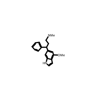 CNCCC(c1ccccc1)c1cc(OC)c2cc[nH]c2c1